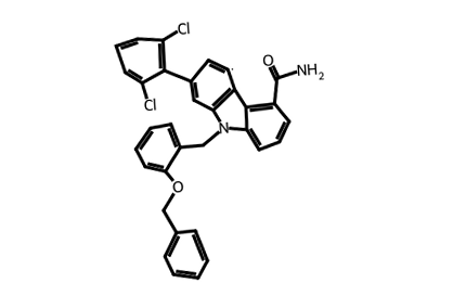 NC(=O)c1cccc2c1c1[c]cc(-c3c(Cl)cccc3Cl)cc1n2Cc1ccccc1OCc1ccccc1